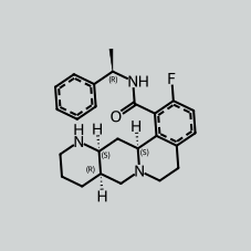 C[C@@H](NC(=O)c1c(F)ccc2c1[C@@H]1C[C@@H]3NCCC[C@@H]3CN1CC2)c1ccccc1